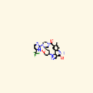 Cc1cc2[nH]c(=O)c3cnn(C4CCOCC4)c3c2cc1C(=O)N1CCN(c2nccc(C(F)(F)F)n2)CC1